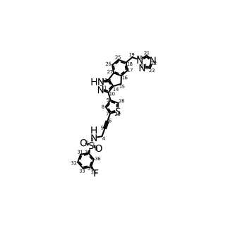 O=S(=O)(NCC#Cc1cc(-c2n[nH]c3c2Cc2cc(Cn4cncn4)ccc2-3)cs1)c1cccc(F)c1